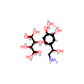 NCC(O)c1ccc(O)c(O)c1.O.O=C(O)C(O)C(O)C(=O)O